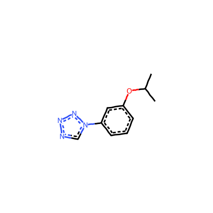 CC(C)Oc1cccc(-n2cnnn2)c1